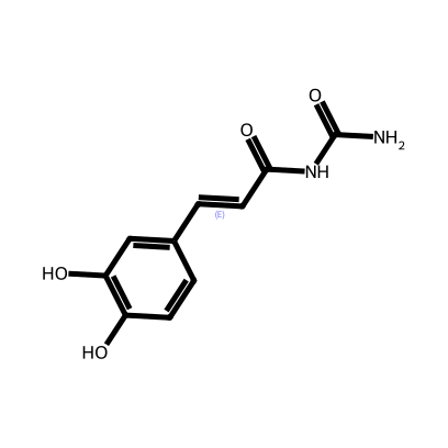 NC(=O)NC(=O)/C=C/c1ccc(O)c(O)c1